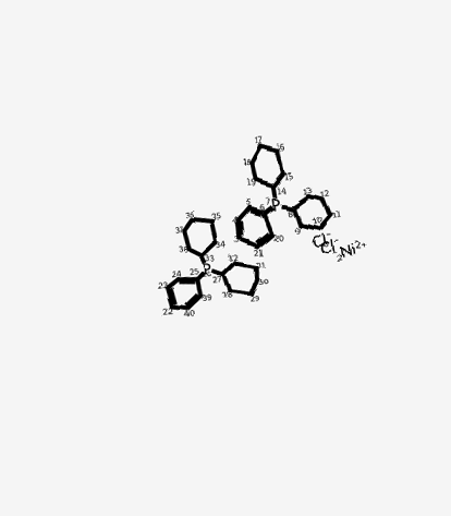 [Cl-].[Cl-].[Ni+2].c1ccc(P(C2CCCCC2)C2CCCCC2)cc1.c1ccc(P(C2CCCCC2)C2CCCCC2)cc1